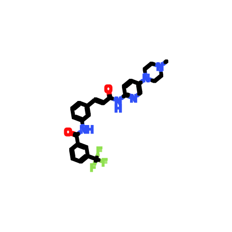 CN1CCN(c2ccc(NC(=O)C=Cc3cccc(NC(=O)c4cccc(C(F)(F)F)c4)c3)nc2)CC1